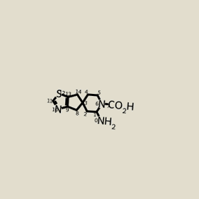 NC1CC2(CCN1C(=O)O)Cc1ncsc1C2